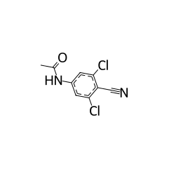 CC(=O)Nc1cc(Cl)c(C#N)c(Cl)c1